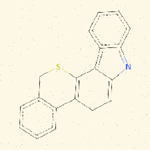 C1=C2N=c3ccccc3=C2C2=C(C1)c1ccccc1CS2